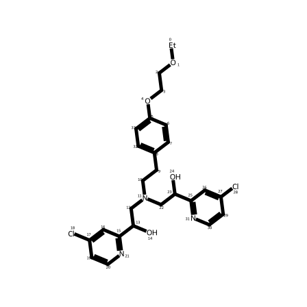 CCOCCOc1ccc(CCN(CC(O)c2cc(Cl)ccn2)CC(O)c2cc(Cl)ccn2)cc1